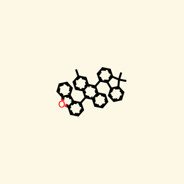 Cc1ccc2c(-c3cccc4oc5ccccc5c34)c3ccccc3c(-c3cccc4c3-c3ccccc3C4(C)C)c2c1